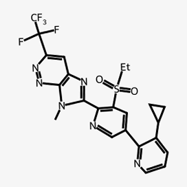 CCS(=O)(=O)c1cc(-c2ncccc2C2CC2)cnc1-c1nc2cc(C(F)(F)C(F)(F)F)nnc2n1C